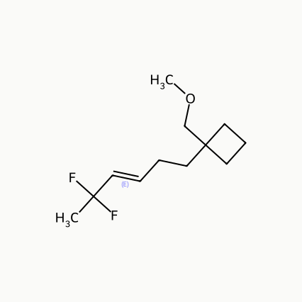 COCC1(CC/C=C/C(C)(F)F)CCC1